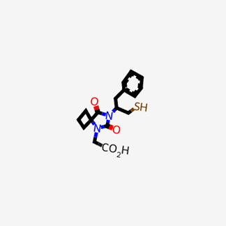 O=C(O)CN1C(=O)N(C(CS)Cc2ccccc2)C(=O)C12CCC2